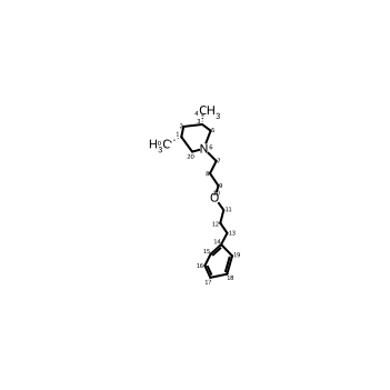 C[C@@H]1C[C@H](C)CN(CCCOCCCc2ccccc2)C1